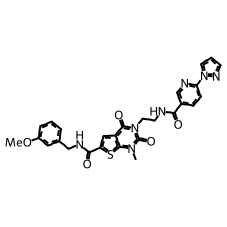 COc1cccc(CNC(=O)c2cc3c(=O)n(CCNC(=O)c4ccc(-n5cccn5)nc4)c(=O)n(C)c3s2)c1